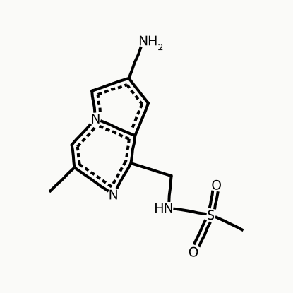 Cc1cn2cc(N)cc2c(CNS(C)(=O)=O)n1